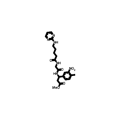 COC(=O)CC(NC(=O)CNC(=O)CCCCNc1ncccn1)c1ccc(C)c([N+](=O)[O-])c1